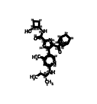 CC[C@@H](C)Nc1cc(C)c(-c2sc(C(=O)N[C@@H]3CC[C@H]3O)nc2C(=O)N2C3CCC2CC3)cn1